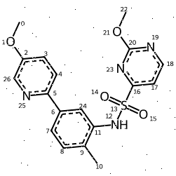 COc1ccc(-c2ccc(C)c(NS(=O)(=O)c3ccnc(OC)n3)c2)nc1